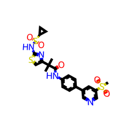 CC(C)(C(=O)Nc1ccc(-c2cncc(S(C)(=O)=O)c2)cc1)c1csc(NS(=O)(=O)C2CC2)n1